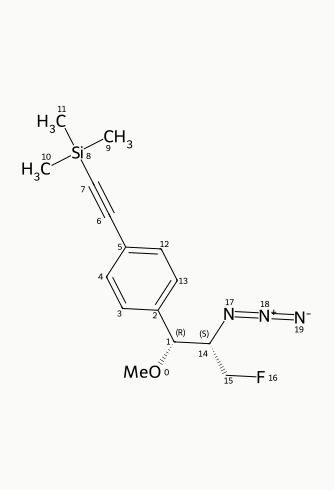 CO[C@H](c1ccc(C#C[Si](C)(C)C)cc1)[C@@H](CF)N=[N+]=[N-]